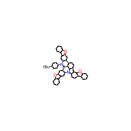 CC(C)(C)c1ccc(N2B3c4cc5oc6ccccc6c5cc4-n4c5ccc6c7ccccc7oc6c5c5ccc(c3c54)-c3cc4oc5ccccc5c4cc32)cc1